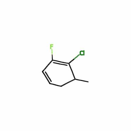 CC1CC=CC(F)=C1Cl